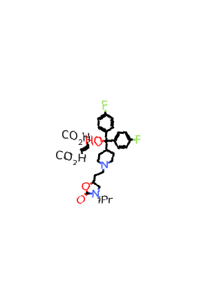 CC(C)N1CC(CCN2CCC(C(O)(c3ccc(F)cc3)c3ccc(F)cc3)CC2)OC1=O.O=C(O)/C=C/C(=O)O